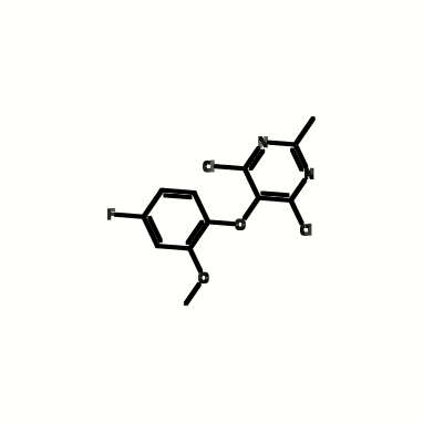 COc1cc(F)ccc1Oc1c(Cl)nc(C)nc1Cl